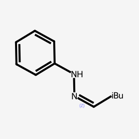 CCC(C)/C=N\Nc1ccccc1